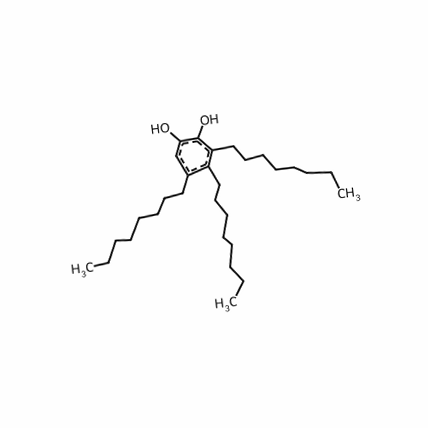 CCCCCCCCc1cc(O)c(O)c(CCCCCCCC)c1CCCCCCCC